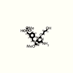 COc1nc2c(N)nc(OCCCO)nc2n1Cc1cccc(CP(=O)(O)OC)c1